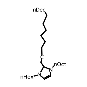 CCCCCCCCCCCCCCCCCCC1N(CCCCCC)C=CN1CCCCCCCC